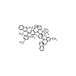 Cc1cc(C)c(N(c2ccc3ccccc3c2)c2cc3c4c(c2)c2cc(N(c5ccc6ccccc6c5)c5c(C)cc(C)cc5C)cc5c2n4-c2c(cccc2C5(C)C)C3(C)C)c(C)c1